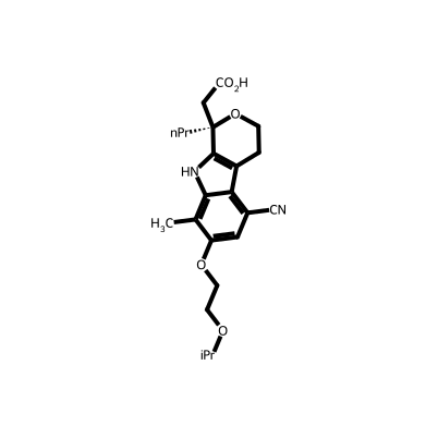 CCC[C@]1(CC(=O)O)OCCc2c1[nH]c1c(C)c(OCCOC(C)C)cc(C#N)c21